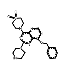 O=S1(=O)CCN(c2nc(N3CCNCC3)nc3c(SCc4ccccc4)ncnc23)CC1